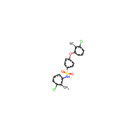 Cc1c(Cl)cccc1NS(=O)(=O)c1ccc(Oc2cccc(Cl)c2C#N)cc1